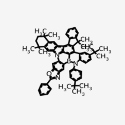 CC(C)(C)c1ccc(N2B3c4cc5nc(-c6ccccc6)oc5cc4-n4c5cc6c(cc5c5c7c(c(c3c54)-c3cc(C(C)(C)C)ccc32)C(C)(C)c2ccccc2-7)C(C)(C)CCC6(C)C)cc1